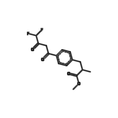 COC(=O)C(C)Cc1ccc(C(=O)CC(=O)C(F)F)cc1